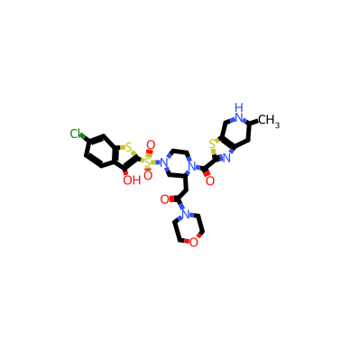 CC1Cc2nc(C(=O)N3CCN(S(=O)(=O)c4sc5cc(Cl)ccc5c4O)CC3CC(=O)N3CCOCC3)sc2CN1